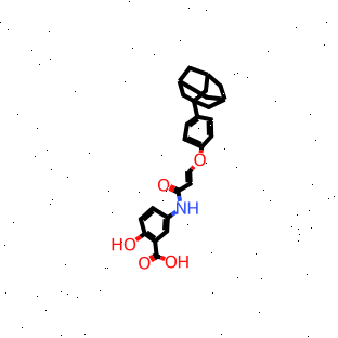 O=C(/C=C/Oc1ccc(C23CC4CC(CC(C4)C2)C3)cc1)Nc1ccc(O)c(C(=O)O)c1